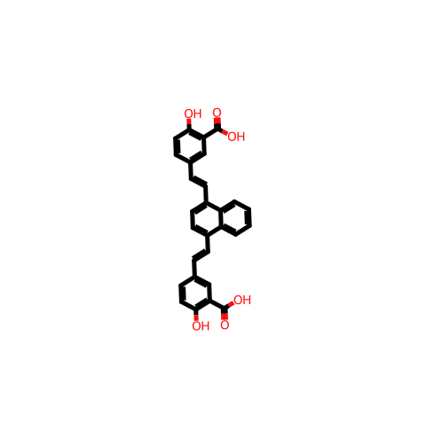 O=C(O)c1cc(C=Cc2ccc(C=Cc3ccc(O)c(C(=O)O)c3)c3ccccc23)ccc1O